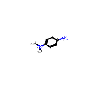 CCCN(CC)C1=CCC(N)C=C1